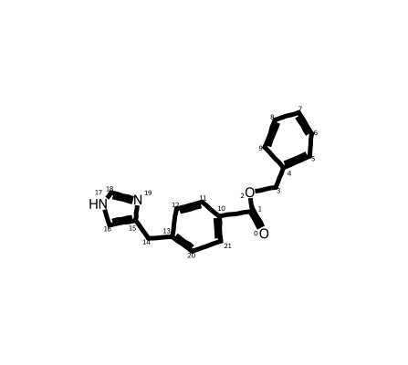 O=C(OCc1ccccc1)c1ccc(Cc2c[nH]cn2)cc1